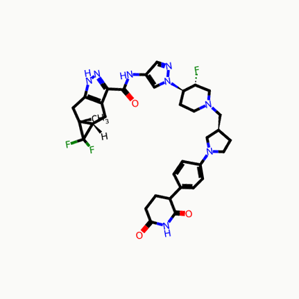 C[C@@]12Cc3[nH]nc(C(=O)Nc4cnn([C@@H]5CCN(C[C@H]6CCN(c7ccc(C8CCC(=O)NC8=O)cc7)C6)C[C@H]5F)c4)c3C[C@@H]1C2(F)F